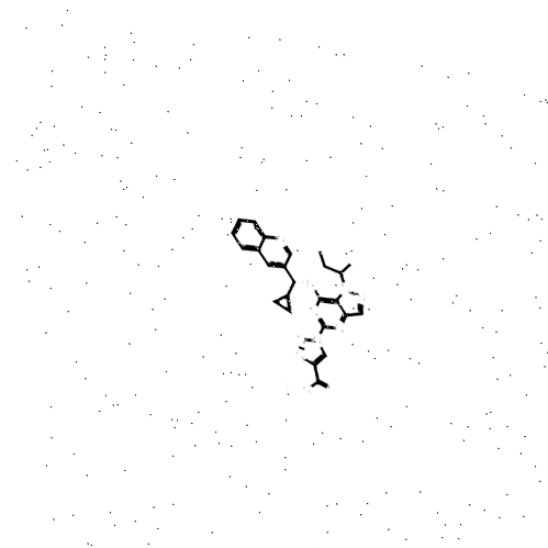 CCC(C)n1ncc2nc(-n3cc(C(N)=O)nn3)nc(N[C@@H](c3cnc4ccccc4c3)C3CC3)c21